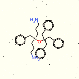 NCCC[Si](CCCN)(Cc1ccccc1)O[Si](Cc1ccccc1)(Cc1ccccc1)Cc1ccccc1